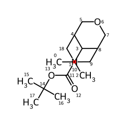 CC(C)C1C2COCC1CN(C(=O)OC(C)(C)C)C2